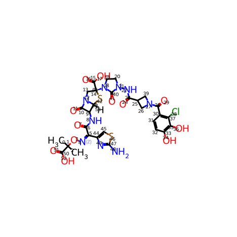 CC(C)(O/N=C(\C(=O)NC1C(=O)N2C[C@@](C(=O)O)(N3CCN(NC(=O)C4CN(C(=O)c5ccc(O)c(O)c5Cl)C4)C3=O)S[C@H]12)c1csc(N)n1)C(=O)O